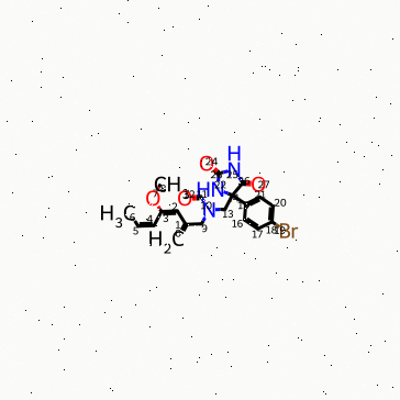 C=C(/C=C(\C=C/C)OC)CN(C=O)CC1(c2ccc(Br)cc2)NC(=O)NC1=O